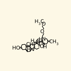 COCCOCCN1C[C@@H](C)C[C@H]2O[C@]3(CCC45C[C@]46CC=C4C[C@@H](O)CC[C@]4(C)[C@H]6CC54CC43C)[C@H](C)[C@@H]21